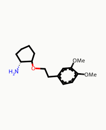 COc1ccc(CCOC2CCCC[C@H]2N)cc1OC